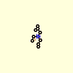 c1cc(-c2ccc3ccccc3c2)cc(-c2nc(-c3cccc(-c4cc5ccccc5c5ccccc45)c3)nc(-c3cccc4c3sc3ccccc34)n2)c1